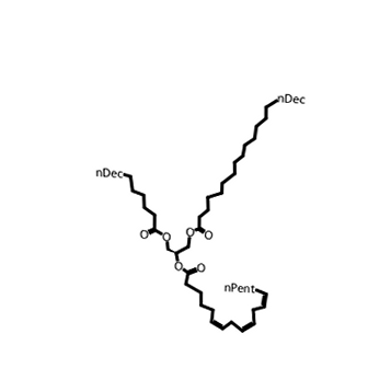 CCCCC/C=C\C/C=C\C/C=C\CCCCC(=O)O[C@@H](COC(=O)CCCCCCCCCCCCCCC)COC(=O)CCCCCCCCCCCCCCCCCCCCCCC